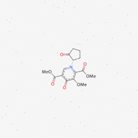 COC(=O)c1cn([C@H]2CCCC2=O)c(C(=O)OC)c(OC)c1=O